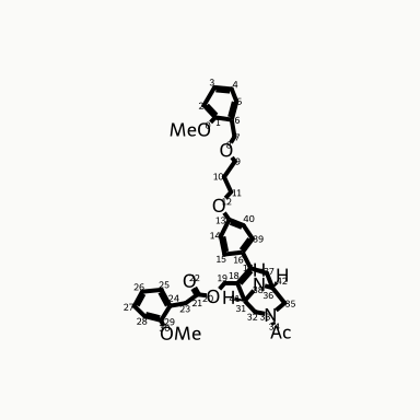 COc1ccccc1COCCCOc1ccc(C2=C(COC(=O)Cc3ccccc3OC)[C@H]3CN(C(C)=O)C[C@@H](C2)N3)cc1